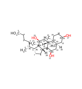 C[C@H](CCCC(=O)O)[C@H]1CC[C@H]2[C@@H]3[C@H](O)C[C@@H]4C[C@H](O)CC[C@]4(C)[C@H]3C[C@H](O)[C@]12C